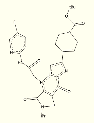 CC(C)N1Cc2c(n(CC(=O)Nc3ccc(F)cn3)c3cc(C4=CCN(C(=O)OC(C)(C)C)CC4)nn3c2=O)C1=O